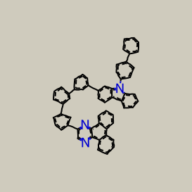 c1ccc(-c2ccc(-n3c4ccccc4c4ccc(-c5cccc(-c6cccc(-c7cccc(-c8cnc9c%10ccccc%10c%10ccccc%10c9n8)c7)c6)c5)cc43)cc2)cc1